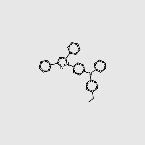 CCc1ccc(N(c2ccccc2)c2ccc(-n3nc(-c4ccccc4)cc3-c3ccccc3)cc2)cc1